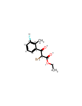 CCOC(=O)C(Br)C(=O)c1cccc(F)c1C